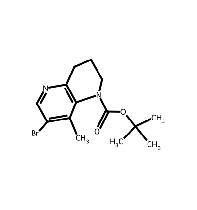 Cc1c(Br)cnc2c1N(C(=O)OC(C)(C)C)CCC2